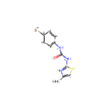 O=Cc1csc(NC(=O)Nc2ccc(Br)cc2)n1